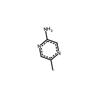 [CH2]c1cnc(N)cn1